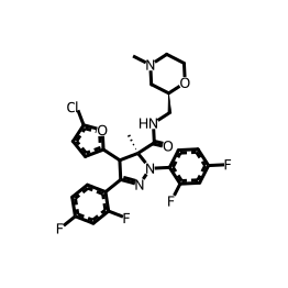 CN1CCO[C@@H](CNC(=O)[C@]2(C)C(c3ccc(Cl)o3)C(c3ccc(F)cc3F)=NN2c2ccc(F)cc2F)C1